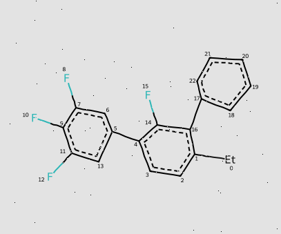 CCc1ccc(-c2cc(F)c(F)c(F)c2)c(F)c1-c1ccccc1